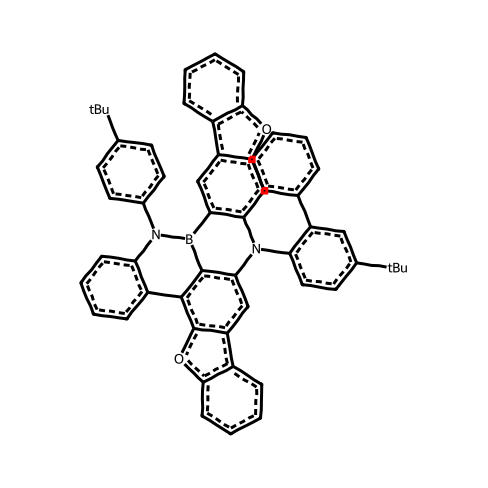 CC(C)(C)c1ccc(N2B3c4cc5c(cc4N(c4ccc(C(C)(C)C)cc4-c4ccccc4)c4cc6c(oc7ccccc76)c(c43)-c3ccccc32)oc2ccccc25)cc1